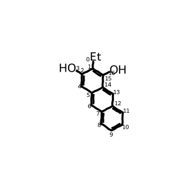 CCc1c(O)cc2cc3ccccc3cc2c1O